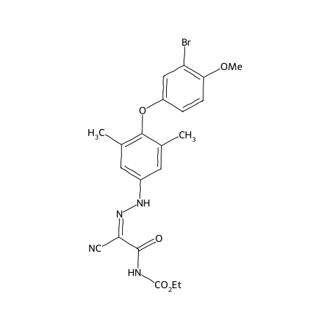 CCOC(=O)NC(=O)C(C#N)=NNc1cc(C)c(Oc2ccc(OC)c(Br)c2)c(C)c1